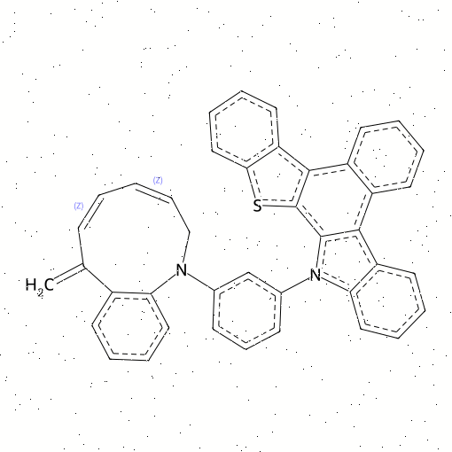 C=C1/C=C\C=C/CN(c2cccc(-n3c4ccccc4c4c5ccccc5c5c6ccccc6sc5c43)c2)c2ccccc21